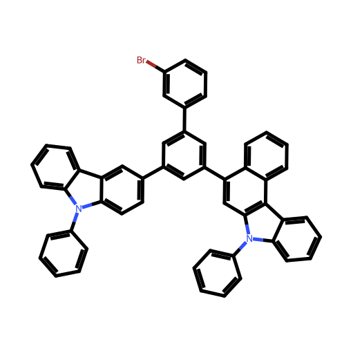 Brc1cccc(-c2cc(-c3ccc4c(c3)c3ccccc3n4-c3ccccc3)cc(-c3cc4c(c5ccccc35)c3ccccc3n4-c3ccccc3)c2)c1